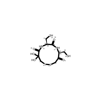 O=C1CSSCC(O)(O)C(=O)N[C@@H](CS)C(=O)N[C@H]1CS